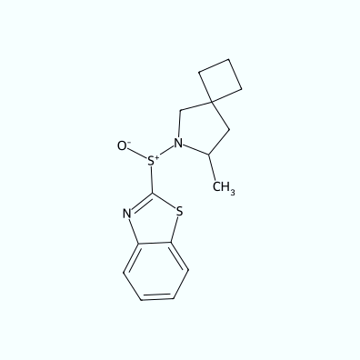 CC1CC2(CCC2)CN1[S+]([O-])c1nc2ccccc2s1